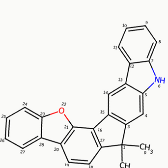 CC1(C)c2cc3[nH]c4ccccc4c3cc2-c2c1ccc1c2oc2ccccc21